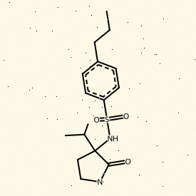 CCCc1ccc(S(=O)(=O)NC2(C(C)C)CC[N]C2=O)cc1